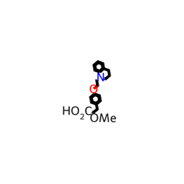 COC(Cc1ccc(OCCN2CCCc3ccccc32)cc1)C(=O)O